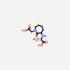 C[C@H](NC1CCCCN(CC(=O)O)C1=O)C(=O)O